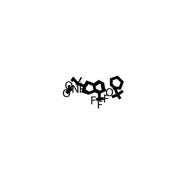 CC(C)(C)C1(Oc2ccc3cc([C@@]4(C)COC(=O)N4)ccc3c2C(F)(F)F)CCCCC1